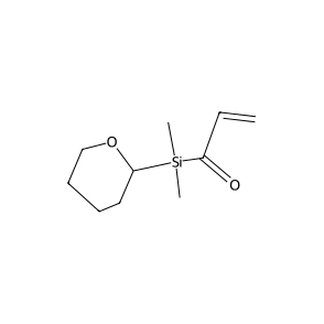 C=CC(=O)[Si](C)(C)C1CCCCO1